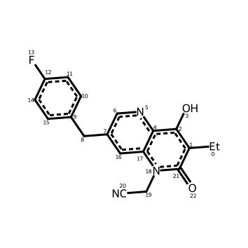 [CH2]Cc1c(O)c2ncc(Cc3ccc(F)cc3)cc2n(CC#N)c1=O